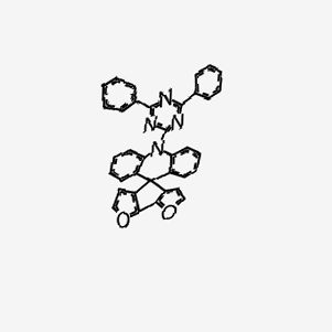 c1ccc(-c2nc(-c3ccccc3)nc(N3c4ccccc4C4(c5ccccc53)c3ccoc3-c3occc34)n2)cc1